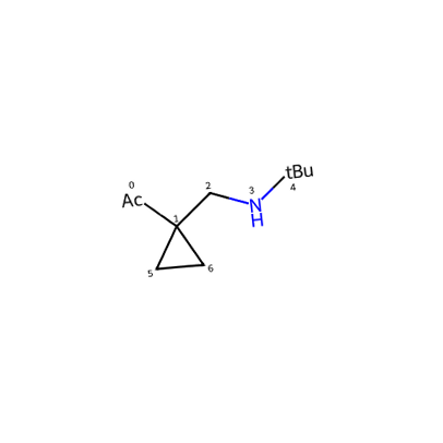 CC(=O)C1(CNC(C)(C)C)CC1